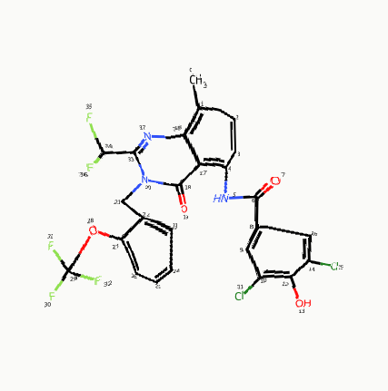 Cc1ccc(NC(=O)c2cc(Cl)c(O)c(Cl)c2)c2c(=O)n(Cc3ccccc3OC(F)(F)F)c(C(F)F)nc12